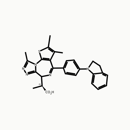 Cc1sc2c(c1C)C(c1ccc(N3CCc4ccccc43)cc1)=NC([C@H](C)C(=O)O)c1nnc(C)n1-2